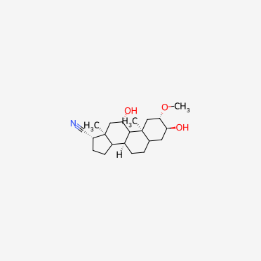 CO[C@H]1C[C@@]2(C)C(CC[C@@H]3C2[C@@H](O)C[C@@]2(C)C3CC[C@@H]2C#N)C[C@@H]1O